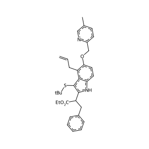 C=CCc1c(OCc2ccc(C)cn2)ccc2[nH]c(C(Cc3ccccc3)C(=O)OCC)c(SC(C)(C)C)c12